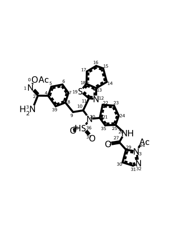 CC(=O)O/N=C(/N)c1cccc(CC(c2nc3ccccc3s2)N(c2cccc(NC(=O)c3ccnn3C(C)=O)c2)[SH](=O)=O)c1